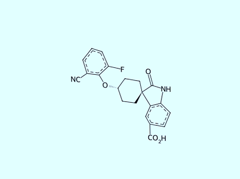 N#Cc1cccc(F)c1O[C@H]1CC[C@@]2(CC1)C(=O)Nc1ccc(C(=O)O)cc12